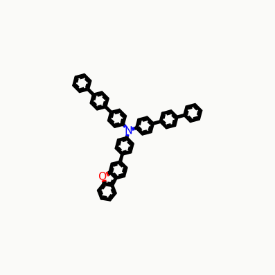 c1ccc(-c2ccc(-c3ccc(N(c4ccc(-c5ccc(-c6ccccc6)cc5)cc4)c4ccc(-c5ccc6c(c5)oc5ccccc56)cc4)cc3)cc2)cc1